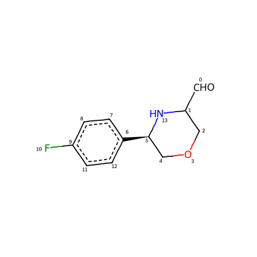 O=CC1COC[C@@H](c2ccc(F)cc2)N1